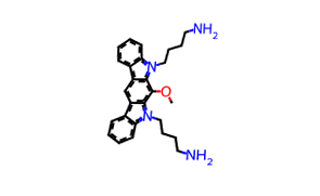 COc1c2c(cc3c4ccccc4n(CCCCN)c13)c1ccccc1n2CCCCN